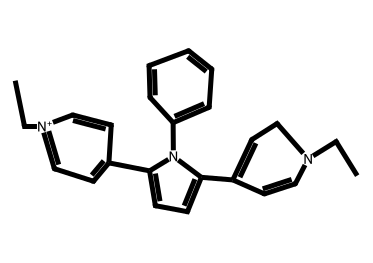 CCN1C=CC(c2ccc(-c3cc[n+](CC)cc3)n2-c2ccccc2)=CC1